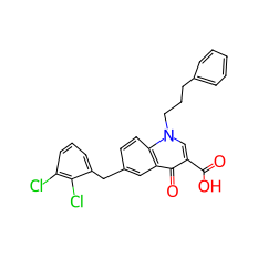 O=C(O)c1cn(CCCc2ccccc2)c2ccc(Cc3cccc(Cl)c3Cl)cc2c1=O